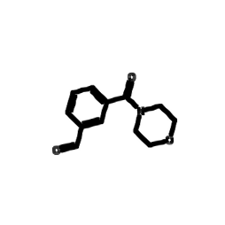 O=Cc1cccc(C(=O)N2CCOCC2)c1